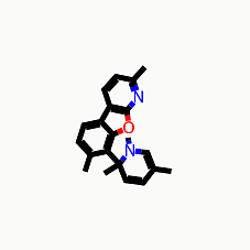 CC1=CN(C)C(C)(c2c(C)ccc3c2oc2nc(C)ccc23)C=C1